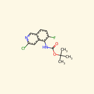 CC(C)(C)OC(=O)Nc1c(F)ccc2cnc(Cl)cc12